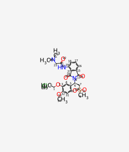 CCOc1cc([C@H](CS(C)(=O)=O)N2C(=O)c3cccc(NC(=O)CN(C)C)c3C2=O)ccc1OC.[Cl-].[H+]